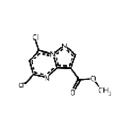 COC(=O)c1cnn2c(Cl)cc(Cl)nc12